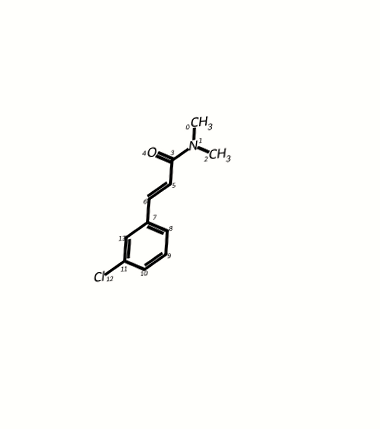 CN(C)C(=O)C=Cc1cccc(Cl)c1